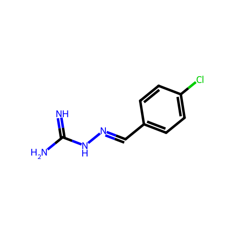 N=C(N)NN=Cc1ccc(Cl)cc1